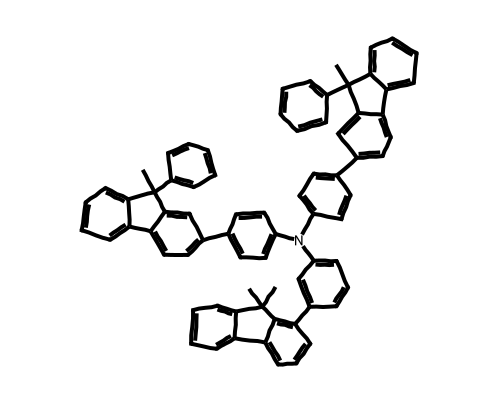 CC1(C)c2ccccc2-c2cccc(-c3cccc(N(c4ccc(-c5ccc6c(c5)C(C)(c5ccccc5)c5ccccc5-6)cc4)c4ccc(-c5ccc6c(c5)C(C)(c5ccccc5)c5ccccc5-6)cc4)c3)c21